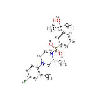 C[C@@H]1CN(c2ccc(F)cc2C(F)(F)F)CCN1S(=O)(=O)c1cccc(C(C)(C)O)c1